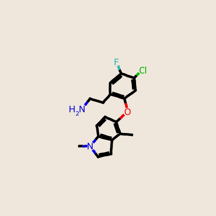 Cc1c(Oc2cc(Cl)c(F)cc2CCN)ccc2c1ccn2C